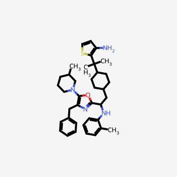 Cc1ccccc1NC(CC1CCC(C(C)(C)c2sccc2N)CC1)c1nc(Cc2ccccc2)c(N2CCCC(C)C2)o1